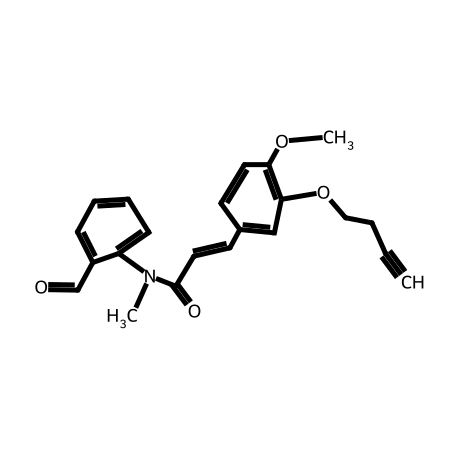 C#CCCOc1cc(/C=C/C(=O)N(C)c2ccccc2C=O)ccc1OC